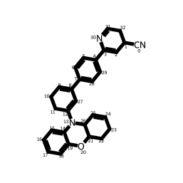 N#CC1C=C(c2ccc(C3=CCCC(N4c5ccccc5OC5CCC=CC54)=C3)cc2)N=CC1